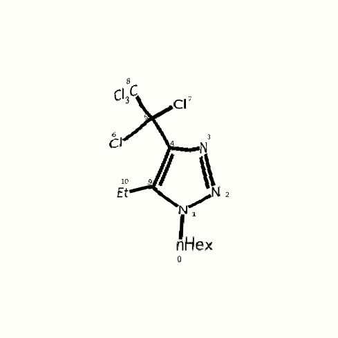 CCCCCCn1nnc(C(Cl)(Cl)C(Cl)(Cl)Cl)c1CC